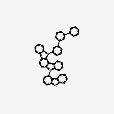 c1ccc(-c2cccc(-c3cccc(-n4c5ccccc5c5ccc6c(c7ccccc7n6-c6cccc7sc8ccccc8c67)c54)c3)c2)cc1